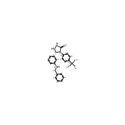 O=C1NN[C@@H](c2cccc(NCc3ccccc3)c2)[C@@H]1c1ccc(C(F)(F)F)cc1